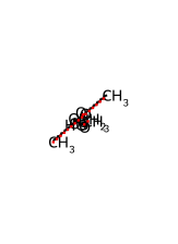 CCCCCCCCCCCCOC(=O)CCC(N)C(=O)OCCCCCCCCCCCC.CCS(=O)(=O)O